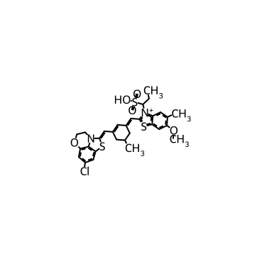 CCC([n+]1c(/C=C2C=C(/C=C3\Sc4cc(Cl)cc5c4N3CCO5)CC(C)C/2)sc2cc(OC)c(C)cc21)S(=O)(=O)O